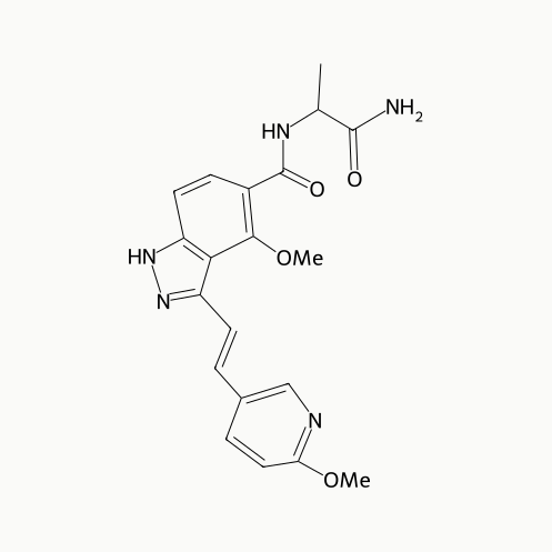 COc1ccc(/C=C/c2n[nH]c3ccc(C(=O)NC(C)C(N)=O)c(OC)c23)cn1